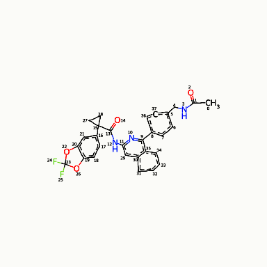 CC(=O)NCc1ccc(-c2nc(NC(=O)C3(c4ccc5c(c4)OC(F)(F)O5)CC3)cc3ccccc23)cc1